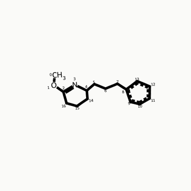 COC1=NC(CCCc2ccccc2)CCC1